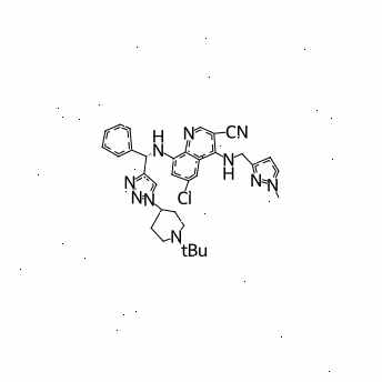 Cn1ccc(CNc2c(C#N)cnc3c(N[C@@H](c4ccccc4)c4cn(C5CCN(C(C)(C)C)CC5)nn4)cc(Cl)cc23)n1